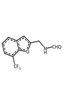 O=CNCc1cc2cccc(C(F)(F)F)c2o1